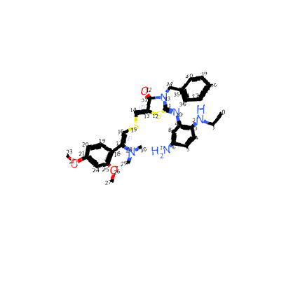 CCNc1ccc(N)cc1N=C1S/C(=C\S/C=C(/c2ccc(OC)cc2OC)N(C)C)C(=O)N1Cc1ccccc1